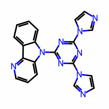 c1ccc2c(c1)c1ncccc1n2-c1nc(-n2ccnc2)nc(-n2ccnc2)n1